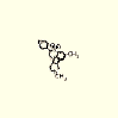 Cc1cc2c3c(c1)c1c(n3CC(c3ccncc3)S2(=O)=O)CCN(C)C1